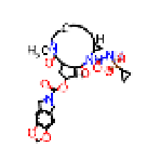 CN1CCCCCC[C@@H]2C[C@@]2(C(=O)NS(=O)(=O)C2CC2)NC(=O)[C@@H]2C[C@@H](OC(=O)N3Cc4cc5c(cc4C3)OCO5)CC2C1=O